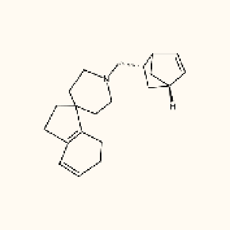 C1=CC2=C(CC1)C1(CC2)CCN(C[C@H]2C[C@H]3C=CC2C3)CC1